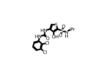 CC(C)NS(=O)(=O)c1scc(NC(=O)Nc2cccc(Cl)c2Cl)c1O